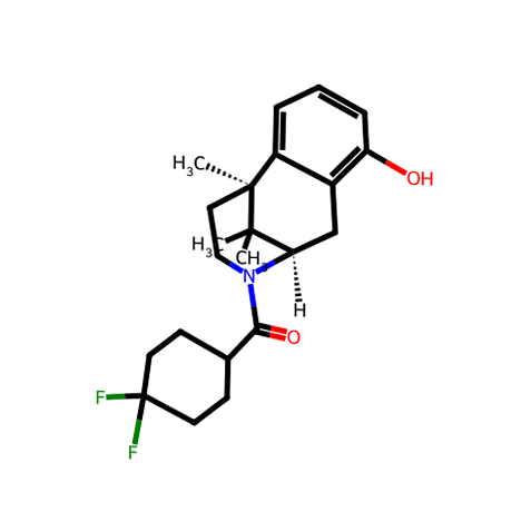 CC1(C)[C@H]2Cc3c(O)cccc3[C@]1(C)CCN2C(=O)C1CCC(F)(F)CC1